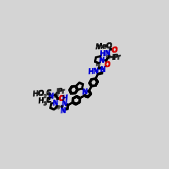 COC(=O)N[C@H](C(=O)N1CCC[C@H]1c1ncc(-c2ccc(-c3ccc(-c4ccc(-c5cnc([C@@H]6CCCN6C(=O)[C@H](C(C)C)N(C)C(=O)O)[nH]5)cc4)n3C3CCc4ccccc43)cc2)[nH]1)C(C)C